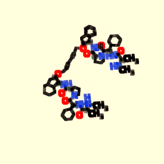 CN[C@@H](C)C(=O)N[C@H](C(=O)N1CCC[C@H]1C(=O)N[C@H]1c2ccccc2C[C@H]1OCC#CC#CCO[C@@H]1CC2CCCCC2[C@@H]1NC(=O)[C@@H]1CCCN1C(=O)[C@@H](NC(=O)[C@H](C)NC)C1CCCCC1)C1CCCCC1